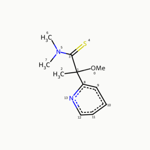 COC(C)(C(=S)N(C)C)c1ccccn1